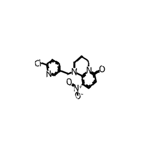 O=c1ccc([N+](=O)[O-])c2n1CCCN2Cc1ccc(Cl)nc1